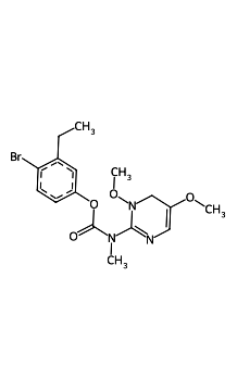 CCc1cc(OC(=O)N(C)C2=NC=C(OC)CN2OC)ccc1Br